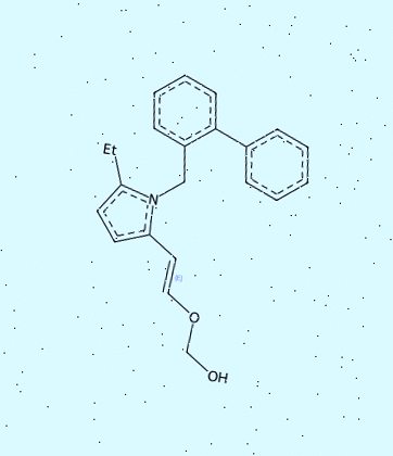 CCc1ccc(/C=C/OCO)n1Cc1ccccc1-c1ccccc1